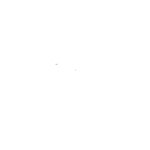 Cc1c(C(=O)N(CC(C)C)[C@@H]2CNC[C@H](C(=O)N3CCOCC3)C2)nnn1-c1ccccc1F.O=C(O)C=CC(=O)O